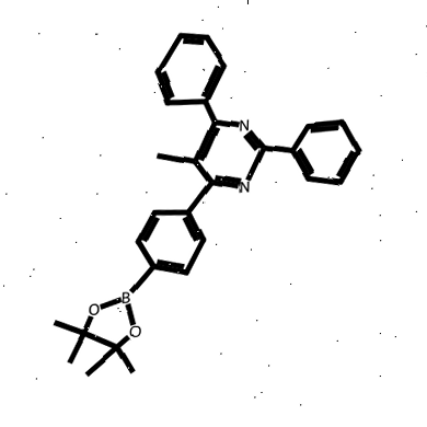 Cc1c(-c2ccccc2)nc(-c2ccccc2)nc1-c1ccc(B2OC(C)(C)C(C)(C)O2)cc1